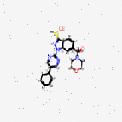 C[S+]([O-])c1nn(-c2ncc(-c3ccccc3)cn2)c2cc(C(=O)N3CCOCC3)ccc12